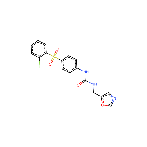 O=C(NCc1cnco1)Nc1ccc(S(=O)(=O)c2ccccc2F)cc1